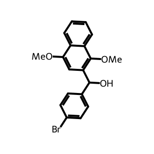 COc1cc(C(O)c2ccc(Br)cc2)c(OC)c2ccccc12